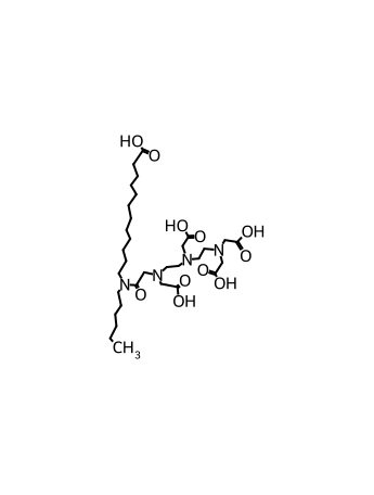 CCCCCCN(CCCCCCCCCCCC(=O)O)C(=O)CN(CCN(CCN(CC(=O)O)CC(=O)O)CC(=O)O)CC(=O)O